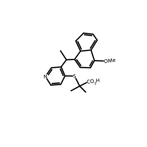 COc1ccc(C(C)c2cnccc2SC(C)(C)C(=O)O)c2ccccc12